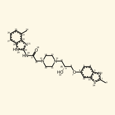 Cc1nc2ccc(OC[C@H](O)CN3CCN(CC(=O)Nc4nc5c(C)cccc5[nH]4)CC3)cc2s1